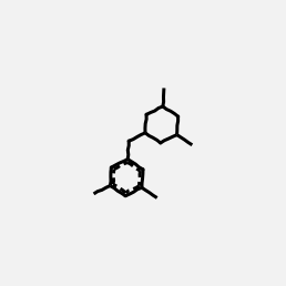 Cc1cc(C)cc(CC2CC(C)CC(C)C2)c1